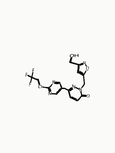 O=c1ccc(-c2cnc(OCC(F)(F)F)nc2)nn1Cc1cc(CO)no1